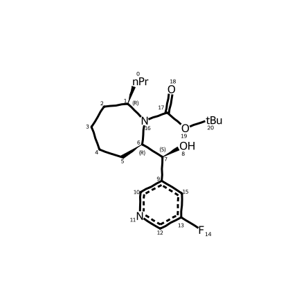 CCC[C@@H]1CCCC[C@H]([C@@H](O)c2cncc(F)c2)N1C(=O)OC(C)(C)C